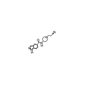 N#CCCN1CCC(NC(=O)c2ccc3[nH]ncc3c2)CC1